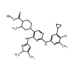 Cc1nc(Nc2ncc(N3CCN(C(=O)OC(C)(C)C)C(C)C3)c(Nc3cc(C)n(C)n3)n2)cc(C2CC2)c1Cl